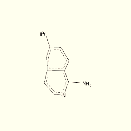 CC(C)c1ccc2c(N)nccc2c1